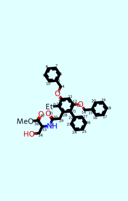 CCc1c(OCc2ccccc2)cc(OCc2ccccc2)c(-c2ccccc2)c1CC(=O)NC(CO)C(=O)OC